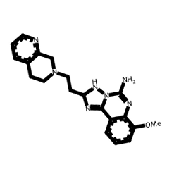 COc1cccc2c1N=C(N)N1NC(CCN3CCc4cccnc4C3)N=C21